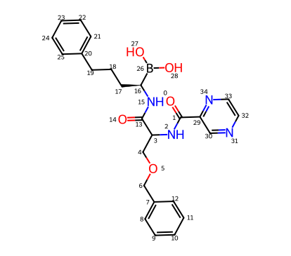 O=C(NC(COCc1ccccc1)C(=O)N[C@@H](CCCc1ccccc1)B(O)O)c1cnccn1